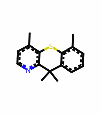 Cc1cccc2c1Sc1c(C)ccnc1C2(C)C